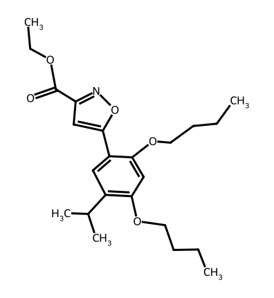 CCCCOc1cc(OCCCC)c(C(C)C)cc1-c1cc(C(=O)OCC)no1